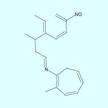 C=C(/C=C\C(=C\C)C(C)C/C=N/C1=C(C)C=CC=CC1)N=O